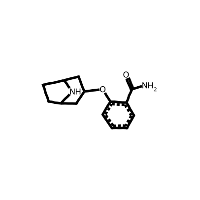 NC(=O)c1ccccc1OC1CC2CCC(C1)N2